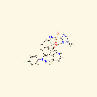 Cn1cnc(S(=O)(=O)N[C@H]2CCC3=Cc4c(cnn4-c4ccc(F)cc4)C[C@]3(C(=O)c3cc(F)ccn3)C2)n1